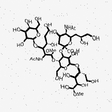 CO[C@@H](O[C@H]1C(CO)OC(O[C@H](CCO)C(O)C(O)[C@H](O)OC)C(O)C1O[C@]1(C(=O)O)CC(O)[C@@H](NC(C)=O)C(C[C@H](O)CO)O1)C(NC(C)=O)C(O[C@@H]1OC(CO)[C@H](O)C(O)C1O)[C@@H](O)CCO